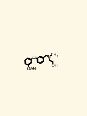 COc1cccc(Oc2cccc(CN(C)CCO)c2)c1